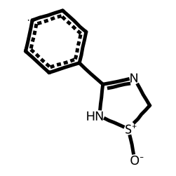 [O-][S+]1CN=C(c2cc[c]cc2)N1